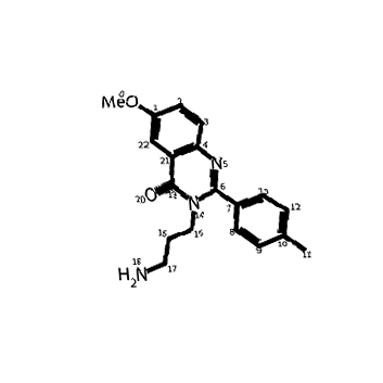 COc1ccc2nc(-c3ccc(C)cc3)n(CCCN)c(=O)c2c1